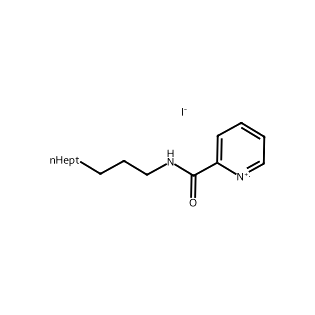 CCCCCCCCCCNC(=O)C1=CC=CC=[N+]1.[I-]